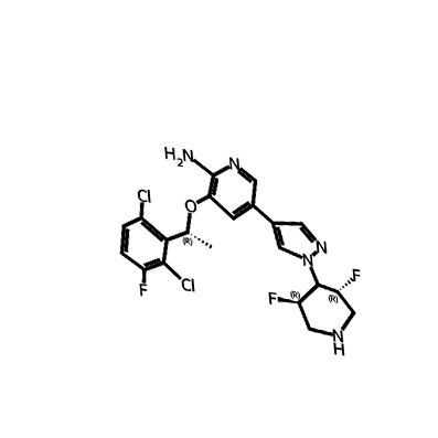 C[C@@H](Oc1cc(-c2cnn(C3[C@H](F)CNC[C@H]3F)c2)cnc1N)c1c(Cl)ccc(F)c1Cl